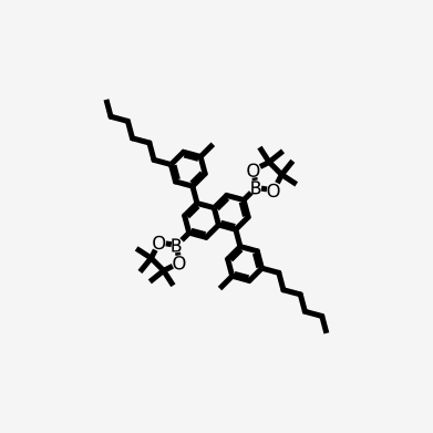 CCCCCCc1cc(C)cc(-c2cc(B3OC(C)(C)C(C)(C)O3)cc3c(-c4cc(C)cc(CCCCCC)c4)cc(B4OC(C)(C)C(C)(C)O4)cc23)c1